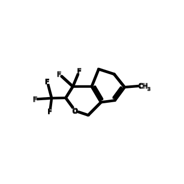 CC1=CC2=C(CC1)C(F)(F)C(C(F)(F)F)OC2